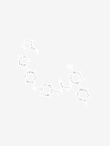 Cc1ccc(-c2ncc(C(F)(F)F)cc2NC(=O)Nc2ccc(Oc3ccc(-c4cnc(N5CCCC5=O)s4)cc3)nc2)cc1